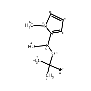 CC(C)C(C)(C)OB(O)c1cccn1C